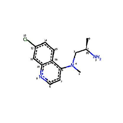 C[C@@H](N)CN(C)c1ccnc2cc(Cl)ccc12